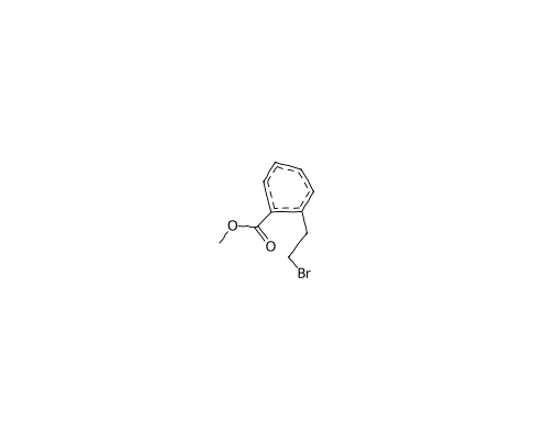 COC(=O)c1ccccc1CCBr